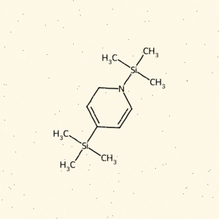 C[Si](C)(C)C1=CCN([Si](C)(C)C)C=C1